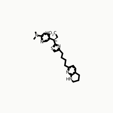 CN(C)c1ccc([C@@H](CC(=O)O)c2nc(CCCCc3ccc4c(n3)NCCC4)cs2)cn1